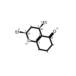 CC[C@H]1C[C@@H](CC)C2=C(CCCC2=O)O1